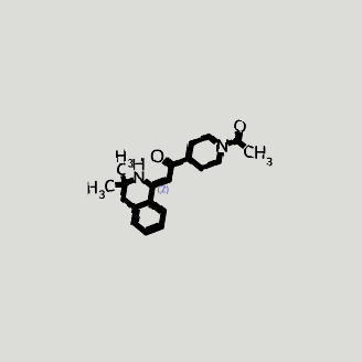 CC(=O)N1CCC(C(=O)/C=C2\NC(C)(C)Cc3ccccc32)CC1